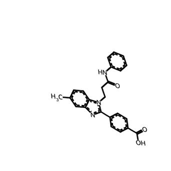 Cc1ccc2c(c1)nc(-c1ccc(C(=O)O)cc1)n2CCC(=O)Nc1ccccc1